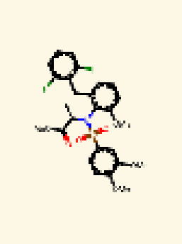 COC(=O)[C@@H](C)N(c1c(Cc2c(F)cccc2F)cccc1OC)S(=O)(=O)c1ccc(OC)c(OC)c1